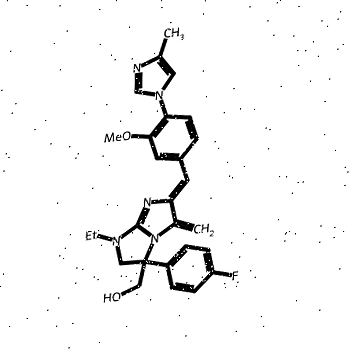 C=c1/c(=C/c2ccc(-n3cnc(C)c3)c(OC)c2)nc2n1C(CO)(c1ccc(F)cc1)CN2CC